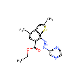 CCOC(=O)c1cc(C)c2cc(C)sc2c1/N=N/c1cnccn1